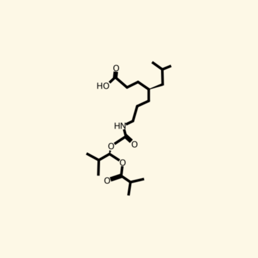 CC(C)C[C@@H](CCCNC(=O)O[C@H](OC(=O)C(C)C)C(C)C)CCC(=O)O